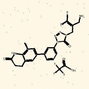 Cc1cc(-c2cccc(-n3nnn(CC(CN)=C(F)F)c3=O)c2)cc2c1NC(=O)CC2.O=C(O)C(F)(F)F